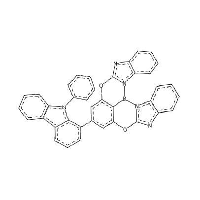 c1ccc(-n2c3ccccc3c3cccc(-c4cc5c6c(c4)Oc4nc7ccccc7n4B6n4c(nc6ccccc64)O5)c32)cc1